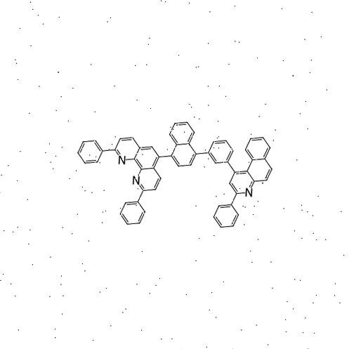 c1ccc(-c2cc(-c3cccc(-c4ccc(-c5cc6ccc(-c7ccccc7)nc6c6nc(-c7ccccc7)ccc56)c5ccccc45)c3)c3c(ccc4ccccc43)n2)cc1